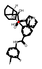 O=C(Nc1ccc(F)c(F)c1)c1ccc(Cl)c(S(=O)(=O)[C@@H]2CC3CC[C@@H](C2)[C@@]3(O)C(O)C(O)c2cccnc2)c1